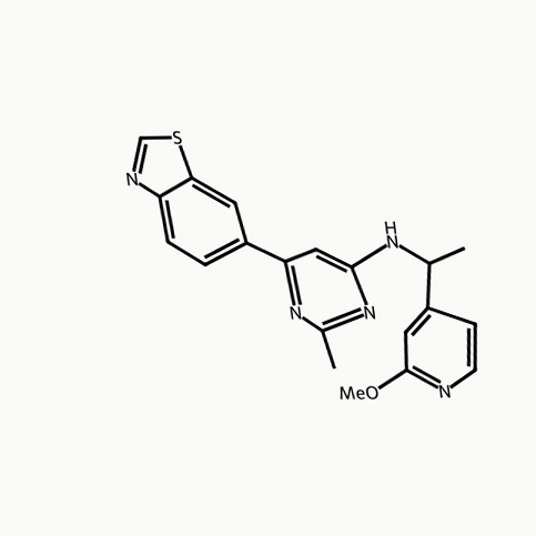 COc1cc(C(C)Nc2cc(-c3ccc4ncsc4c3)nc(C)n2)ccn1